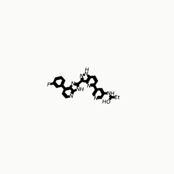 CCC(O)Nc1cncc(-c2ccc3[nH]nc(-c4nc5c(-c6cccc(F)c6)ccnc5[nH]4)c3n2)c1